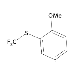 COc1cc[c]cc1SC(F)(F)F